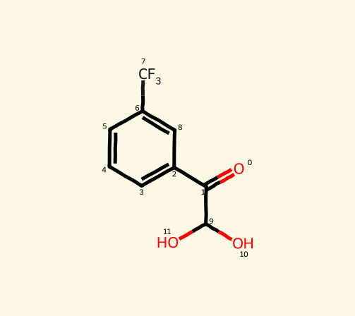 O=C(c1cccc(C(F)(F)F)c1)C(O)O